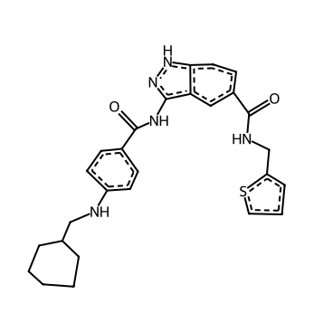 O=C(NCc1cccs1)c1ccc2[nH]nc(NC(=O)c3ccc(NCC4CCCCC4)cc3)c2c1